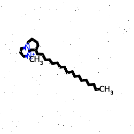 CCCCCCCCCCCCCCCCCCC1CCCCN2CCC[N+](C)=C12